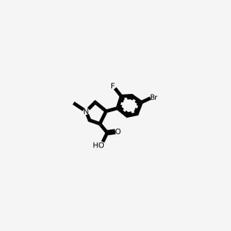 CN1CC(C(=O)O)C(c2ccc(Br)cc2F)C1